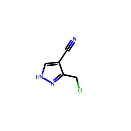 N#Cc1c[nH]nc1CCl